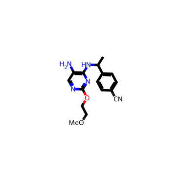 COCCOc1ncc(N)c(NC(C)c2ccc(C#N)cc2)n1